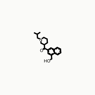 C[C](C)CN1CCCC(C(=O)c2cc(CO)c3ccccc3c2)C1